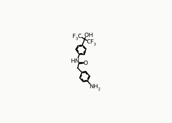 Nc1ccc(CC(=O)Nc2ccc(C(O)(C(F)(F)F)C(F)(F)F)cc2)cc1